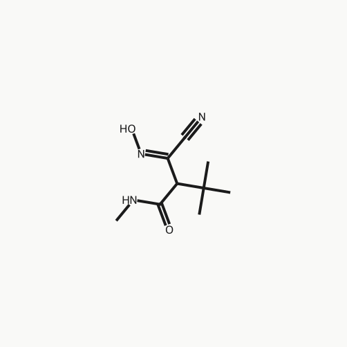 CNC(=O)C(C(C#N)=NO)C(C)(C)C